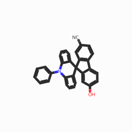 N#Cc1ccc2c(c1)C1(c3cc(O)ccc3-2)c2ccccc2N(c2ccccc2)c2ccccc21